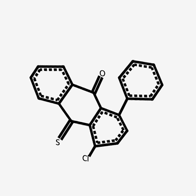 O=C1c2ccccc2C(=S)c2c(Cl)ccc(-c3ccccc3)c21